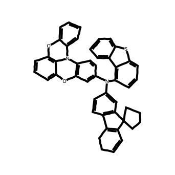 C1=CC2=C(CC1)c1ccc(N(c3ccc4c(c3)Oc3cccc5c3N4c3ccccc3O5)c3cccc4sc5ccccc5c34)cc1C21CCCC1